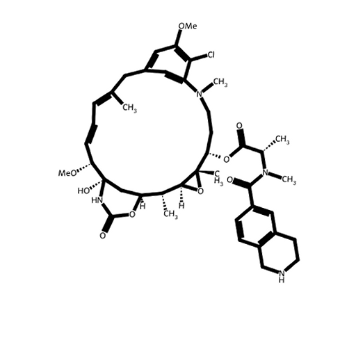 COc1cc2cc(c1Cl)N(C)CC[C@H](OC(=O)[C@H](C)N(C)C(=O)c1ccc3c(c1)CCNC3)[C@]1(C)O[C@H]1[C@H](C)[C@@H]1C[C@@](O)(NC(=O)O1)[C@H](OC)/C=C/C=C(\C)C2